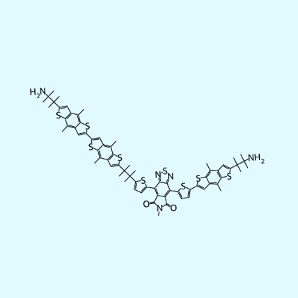 Cc1c2cc(C(C)(C)C(C)(C)N)sc2c(C)c2cc(-c3ccc(-c4c5c(c(-c6ccc(C(C)(C)C(C)(C)c7cc8c(C)c9sc(-c%10cc%11c(C)c%12sc(C(C)(C)C(C)(C)N)cc%12c(C)c%11s%10)cc9c(C)c8s7)s6)c6nsnc46)C(=O)N(C)C5=O)s3)sc12